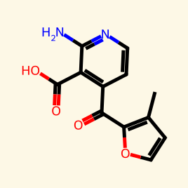 Cc1ccoc1C(=O)c1ccnc(N)c1C(=O)O